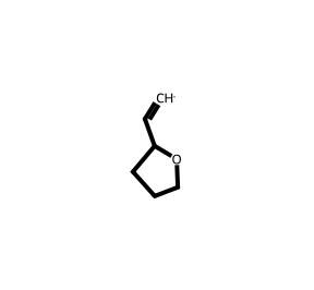 [CH]=CC1CCCO1